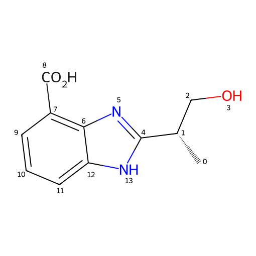 C[C@@H](CO)c1nc2c(C(=O)O)cccc2[nH]1